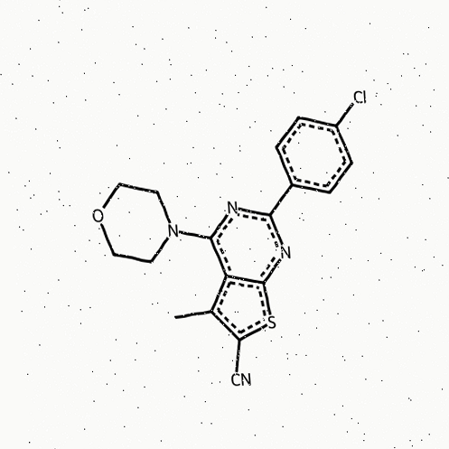 Cc1c(C#N)sc2nc(-c3ccc(Cl)cc3)nc(N3CCOCC3)c12